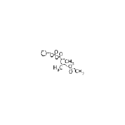 C=CC(=O)OCCC(C)CC(CC)C(=O)OC(=O)OCc1ccccc1